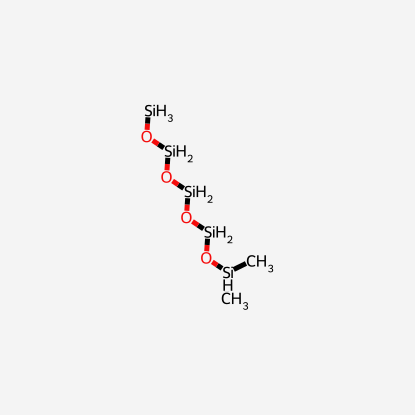 C[SiH](C)O[SiH2]O[SiH2]O[SiH2]O[SiH3]